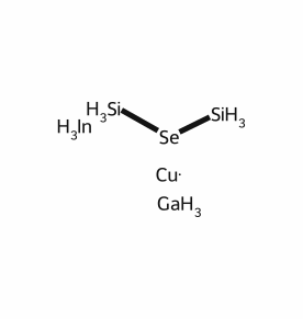 [Cu].[GaH3].[InH3].[SiH3][Se][SiH3]